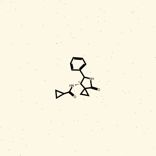 O=C(N[C@@H]1C(c2ccccc2)NC(=O)C12CC2)C1CC1